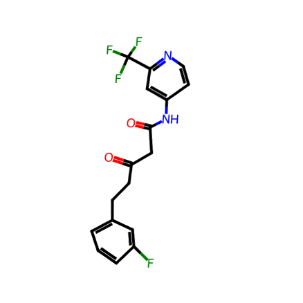 O=C(CCc1cccc(F)c1)CC(=O)Nc1ccnc(C(F)(F)F)c1